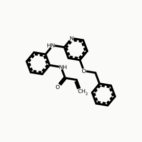 C=CC(=O)Nc1ccccc1Nc1cc(OCc2ccccc2)ccn1